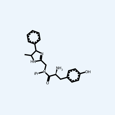 CC1NC(CN(C(=O)[C@@H](N)Cc2ccc(O)cc2)C(C)C)=NC1c1ccccc1